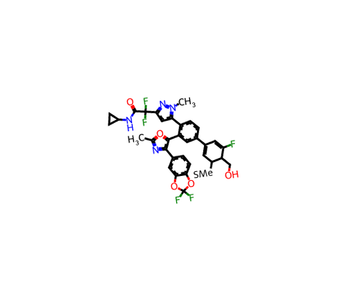 CSC1C=C(c2ccc(-c3cc(C(F)(F)C(=O)NC4CC4)nn3C)c(-c3oc(C)nc3-c3ccc4c(c3)OC(F)(F)O4)c2)C=C(F)C1CO